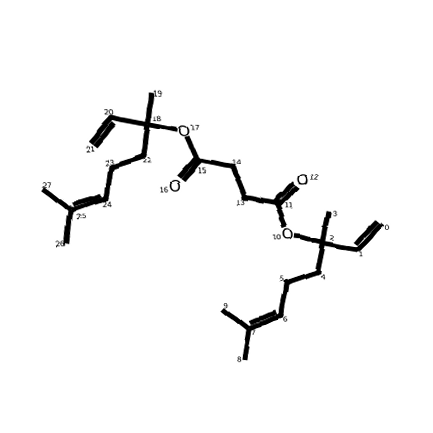 C=CC(C)(CCC=C(C)C)OC(=O)CCC(=O)OC(C)(C=C)CCC=C(C)C